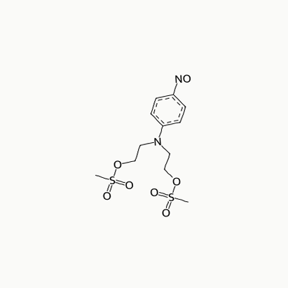 CS(=O)(=O)OCCN(CCOS(C)(=O)=O)c1ccc(N=O)cc1